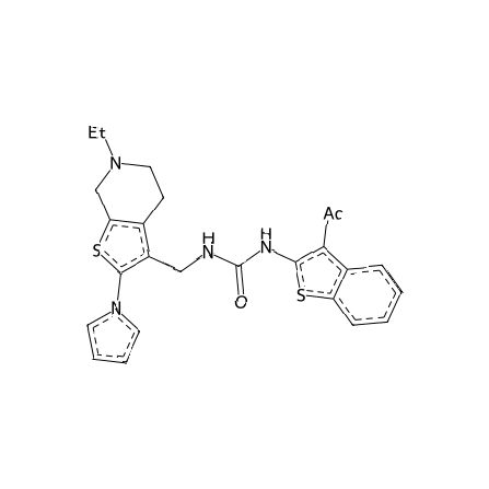 CCN1CCc2c(sc(-n3cccc3)c2CNC(=O)Nc2sc3ccccc3c2C(C)=O)C1